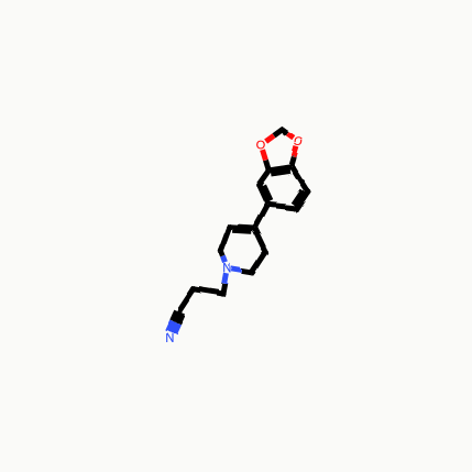 N#CCCN1CC=C(c2ccc3c(c2)OCO3)CC1